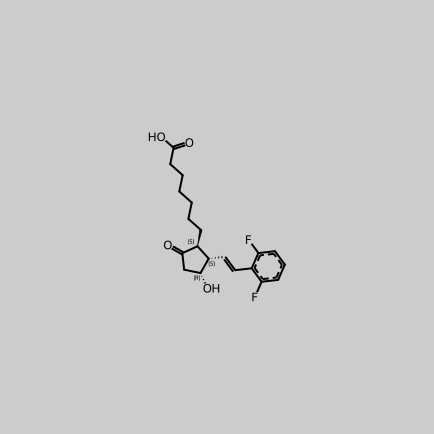 O=C(O)CCCCCC[C@@H]1C(=O)C[C@@H](O)[C@H]1C=Cc1c(F)cccc1F